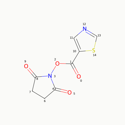 O=C(ON1C(=O)CCC1=O)c1cncs1